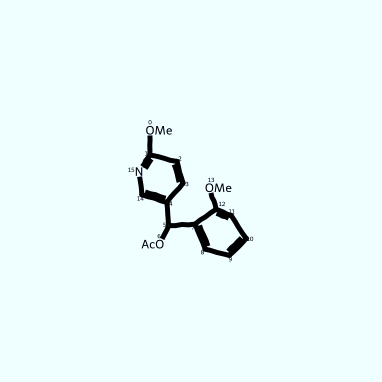 COc1ccc(C(OC(C)=O)c2ccccc2OC)cn1